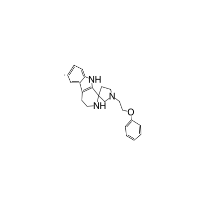 [c]1ccc2[nH]c3c(c2c1)CCNC31CCN(CCOc2ccccc2)C1